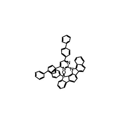 O=P1(c2ccccc2)c2ccccc2-c2ccc3c4ccc5ccccc5c4n(-c4nc(-c5ccc(-c6ccccc6)cc5)cc(-c5ccc(-c6ccccc6)cc5)n4)c3c21